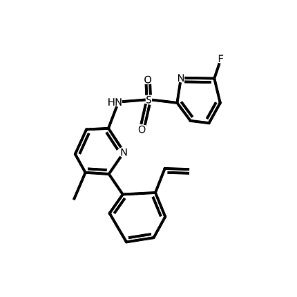 C=Cc1ccccc1-c1nc(NS(=O)(=O)c2cccc(F)n2)ccc1C